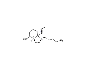 C/N=C/C12CCCC(O)[C@@H]1CC[C@@H]2CCCCC(C)C